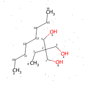 CCC(CO)(CO)CO.CCCCCCCC